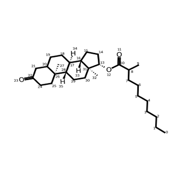 CCCCCCCCC(C)C(=O)O[C@H]1CC[C@H]2[C@@H]3CCC4CC(=O)CC[C@]4(C)[C@H]3CC[C@]12C